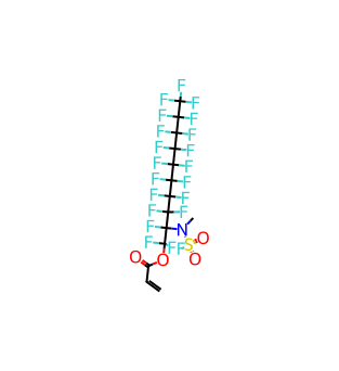 C=CC(=O)OC(F)(F)C(F)(N(C)S(=O)(=O)F)C(F)(F)C(F)(F)C(F)(F)C(F)(F)C(F)(F)C(F)(F)C(F)(F)C(F)(F)F